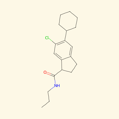 CCCNC(=O)C1CCc2cc(C3CCCCC3)c(Cl)cc21